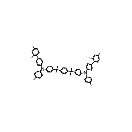 Cc1ccc(N(c2ccc(-c3ccc(C)cc3C)cc2)c2ccc(C(C)(C)c3ccc(C(C)(C)c4ccc(N(c5ccc(C)cc5)c5ccc(-c6ccc(C)cc6C)cc5)cc4)cc3)cc2)cc1